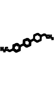 CCc1ccc(-c2ccc(C3CCC(CC)CC3)cc2)cc1